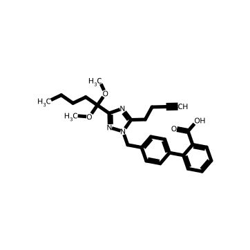 C#CCCc1nc(C(CCCC)(OC)OC)nn1Cc1ccc(-c2ccccc2C(=O)O)cc1